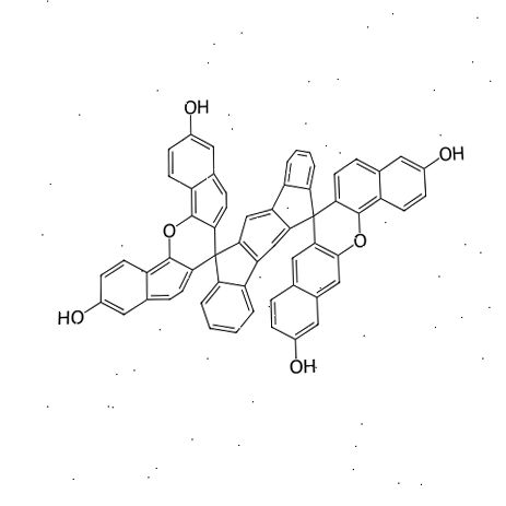 Oc1ccc2cc3c(cc2c1)Oc1c(ccc2cc(O)ccc12)C31c2ccccc2-c2cc3c(cc21)-c1ccccc1C31c2ccc3cc(O)ccc3c2Oc2c1ccc1cc(O)ccc21